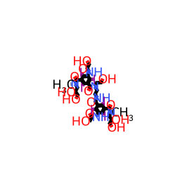 CN(CC(O)CO)C(=O)c1c(I)c(NC(=O)CO)c(I)c(C(=O)NCCN(CCO)C(=O)c2c(I)c(NC(=O)CO)c(I)c(C(=O)N(C)CC(O)CO)c2I)c1I